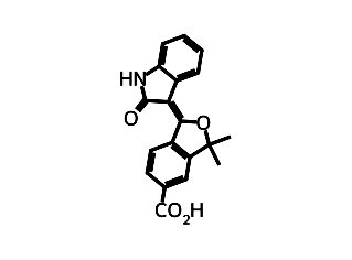 CC1(C)O/C(=C2/C(=O)Nc3ccccc32)c2ccc(C(=O)O)cc21